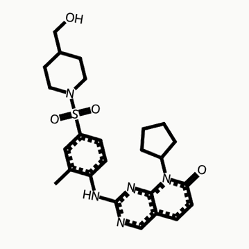 Cc1cc(S(=O)(=O)N2CCC(CO)CC2)ccc1Nc1ncc2ccc(=O)n(C3CCCC3)c2n1